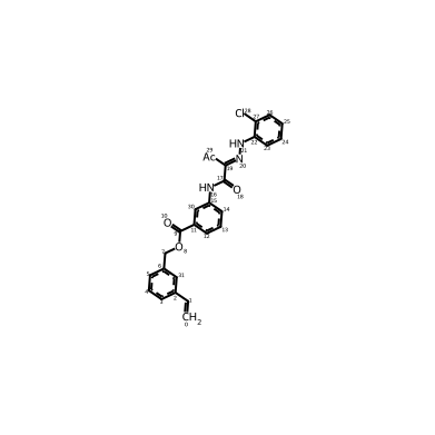 C=Cc1cccc(COC(=O)c2cccc(NC(=O)/C(=N/Nc3ccccc3Cl)C(C)=O)c2)c1